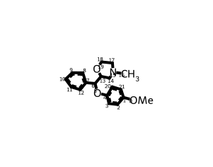 COc1ccc(OC(c2ccccc2)C2CN(C)CCO2)cc1